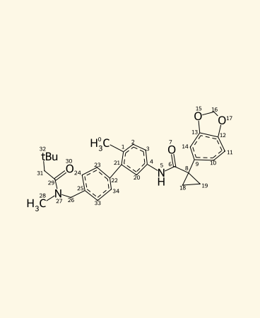 Cc1ccc(NC(=O)C2(c3ccc4c(c3)OCO4)CC2)cc1-c1ccc(CN(C)C(=O)CC(C)(C)C)cc1